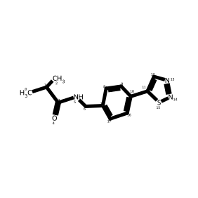 CC(C)C(=O)NCc1ccc(-c2cnns2)cc1